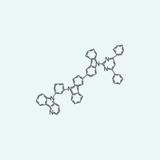 c1ccc(-c2cc(-c3ccccc3)nc(-n3c4ccccc4c4cc(-c5ccc6c(c5)c5ccccc5n6-c5cccc(-n6c7ccccc7c7ncccc76)c5)ccc43)n2)cc1